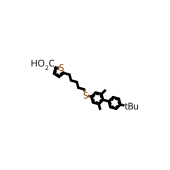 Cc1cc(SCCCCCc2ccc(C(=O)O)s2)cc(C)c1-c1ccc(C(C)(C)C)cc1